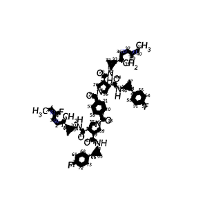 C=C(/C=C\C(F)=C/C)[C@H]1C[C@@H]1NC(=O)[C@@H]1CN(C(=O)c2ccc(C(=O)N3C[C@@H](C(=O)N[C@H]4C[C@@H]4C(=C)/C=C\C(F)=C/C)[C@H](C(=O)N[C@H]4C[C@@H]4c4ccc(F)cc4)C3)cc2)C[C@H]1C(=O)N[C@H]1C[C@@H]1c1ccc(F)cc1